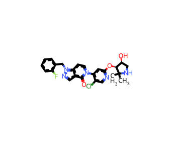 CC1(C)NC[C@H](O)[C@@H]1Oc1cc(-n2ccc3c(cnn3Cc3ccccc3F)c2=O)c(Cl)cn1